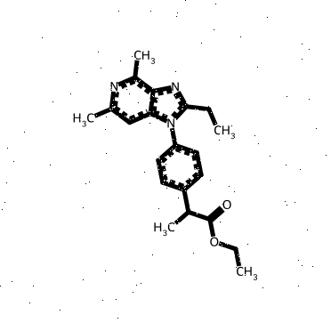 CCOC(=O)C(C)c1ccc(-n2c(CC)nc3c(C)nc(C)cc32)cc1